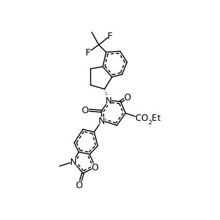 CCOC(=O)c1cn(-c2ccc3c(c2)oc(=O)n3C)c(=O)n([C@@H]2CCc3c2cccc3C(C)(F)F)c1=O